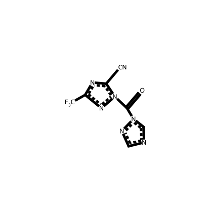 N#Cc1nc(C(F)(F)F)nn1C(=O)n1cncn1